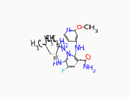 COc1cc(Nc2nc(N[C@H](CC(C)C)[C@H](C)N)c(F)cc2C(N)=O)ccn1